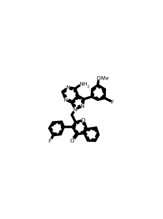 COc1cc(F)cc(-c2nn(Cc3oc4ccccc4c(=O)c3-c3cccc(F)c3)c3ncnc(N)c23)c1